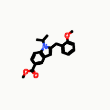 COC(=O)c1ccc2c(c1)cc(Cc1ccccc1OC)n2C(C)C